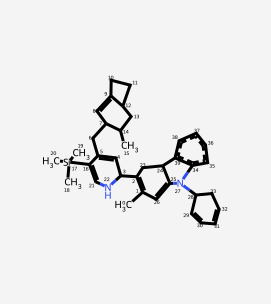 CC1=C(C2C=C(CC3C=C4CCC4CC3C)C([Si](C)(C)C)=CN2)CC2C(=C1)N(C1C=CC=CC1)c1ccccc12